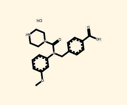 COc1cccc(N(Cc2ccc(C(=O)O)cc2)C(=O)N2CCNCC2)c1.Cl